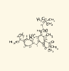 Cc1c(Cc2ccc(C(C)C)cc2)c2c(c(C)c1NC(=O)CC(C)(C)C)C(=O)C(C)(C)O2